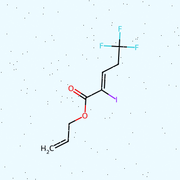 C=CCOC(=O)/C(I)=C/CC(F)(F)F